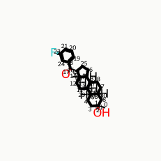 C[C@@]1(O)CC[C@H]2[C@H](CC[C@@H]3[C@@H]2CC[C@]2(C)[C@@H](C(=O)c4cccc(F)c4)CC[C@@H]32)C1